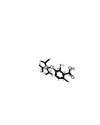 Cc1ccc(O[Si](C(C)C)(C(C)C)C(C)C)c(F)c1C(=O)O